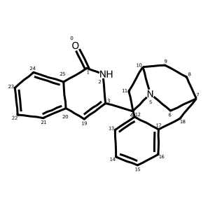 O=c1[nH]c(CN2CC3CCC2Cc2ccccc2C3)cc2ccccc12